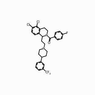 O=C(c1ccc(F)cc1)N1CCc2c(ccc(Cl)c2Cl)C1CCN1CCC(c2cccc(C(F)(F)F)c2)CC1